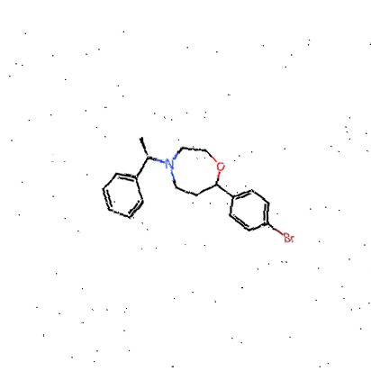 C[C@H](c1ccccc1)N1CCOC(c2ccc(Br)cc2)CC1